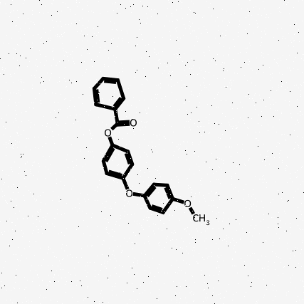 COc1ccc(Oc2ccc(OC(=O)c3ccccc3)cc2)cc1